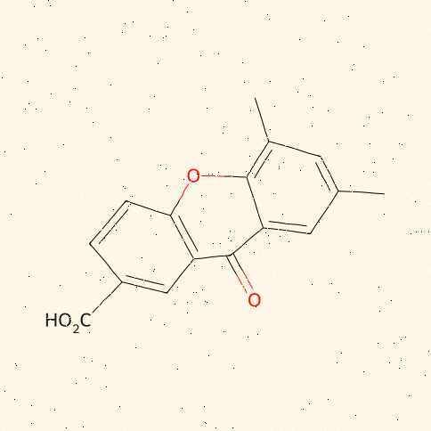 Cc1cc(C)c2oc3ccc(C(=O)O)cc3c(=O)c2c1